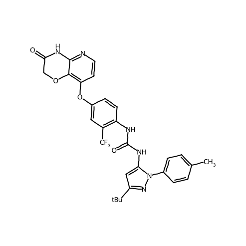 Cc1ccc(-n2nc(C(C)(C)C)cc2NC(=O)Nc2ccc(Oc3ccnc4c3OCC(=O)N4)cc2C(F)(F)F)cc1